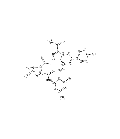 CC(=O)c1nn(CC(=O)N2C3C[C@]3(C)C[C@H]2C(=O)Nc2cc(C)cc(Br)n2)c2c(C)cc(-c3cnc(C)nc3)cc12